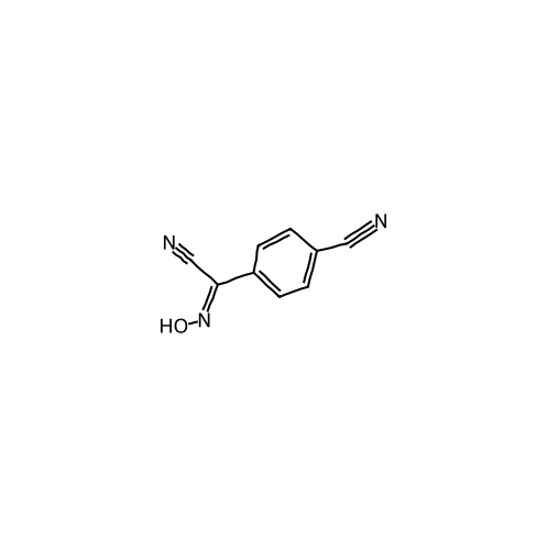 N#CC(=NO)c1ccc(C#N)cc1